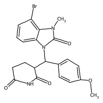 COc1ccc(C(C2CCC(=O)NC2=O)n2c(=O)n(C)c3c(Br)cccc32)cc1